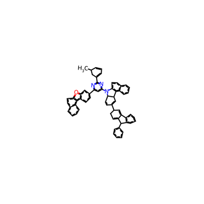 CC1C=CC=C(c2nc(-c3ccc4c(c3)oc3ccc5ccccc5c34)cc(N3c4ccc5ccccc5c4C4C=C(C5C=C6C(=CC5)C(c5ccccc5)c5ccccc56)C=CC43)n2)C1